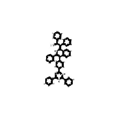 N=C(/C(=C1\NC(c2ccccc2)=C(c2ccc(-c3nc(-c4ccccc4)nc(-c4ccccc4)n3)cc2)c2ccccc21)c1ccccc1)c1ccccc1